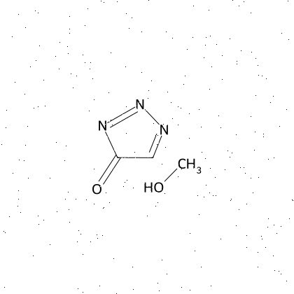 CO.O=C1C=NN=N1